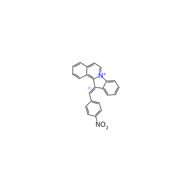 O=[N+]([O-])c1ccc(/C=C2\c3ccccc3-[n+]3ccc4ccccc4c32)cc1